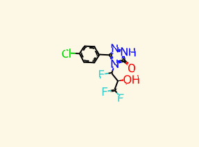 O=c1[nH]nc(-c2ccc(Cl)cc2)n1C(F)[C@@H](O)C(F)F